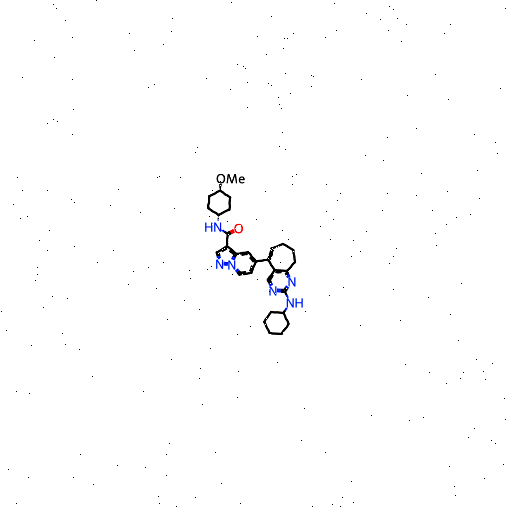 CO[C@H]1CC[C@H](NC(=O)c2cnn3ccc(C4=CCCCc5nc(NC6CCCCC6)ncc54)cc23)CC1